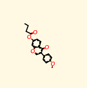 CCCC(=O)Oc1ccc2c(=O)c(-c3ccc(OC)cc3)coc2c1